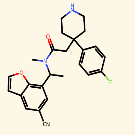 CC(c1cc(C#N)cc2ccoc12)N(C)C(=O)CC1(c2ccc(F)cc2)CCNCC1